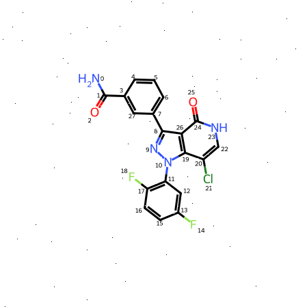 NC(=O)c1cccc(-c2nn(-c3cc(F)ccc3F)c3c(Cl)c[nH]c(=O)c23)c1